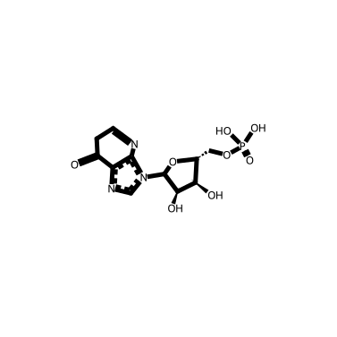 O=C1CC=Nc2c1ncn2C1O[C@H](COP(=O)(O)O)[C@@H](O)[C@H]1O